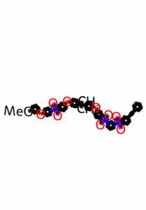 COc1cccc(Oc2ccc(N3C(=O)c4ccc(Oc5ccc(C(C)(C)c6ccc(Oc7ccc8c(c7)C(=O)N(c7cccc(N9C(=O)c%10ccc(C#Cc%11ccccc%11)cc%10C9=O)c7)C8=O)cc6)cc5)cc4C3=O)cc2)c1